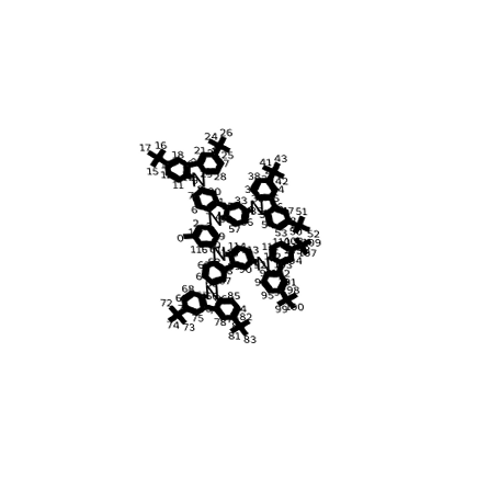 Cc1cc(-n2c3ccc(-n4c5ccc(C(C)(C)C)cc5c5cc(C(C)(C)C)ccc54)cc3c3cc(-n4c5ccc(C(C)(C)C)cc5c5cc(C(C)(C)C)ccc54)ccc32)cc(-n2c3ccc(-n4c5ccc(C(C)(C)C)cc5c5cc(C(C)(C)C)ccc54)cc3c3cc(-n4c5ccc(C(C)(C)C)cc5c5cc(C(C)(C)C)ccc54)ccc32)c1